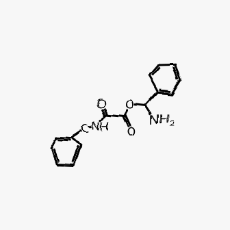 NC(OC(=O)C(=O)NCc1ccccc1)c1ccccc1